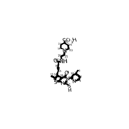 Cc1ccnc(-n2c(S)nc3sc(C)c(C#CC(=O)NCCN4CCC(C(=O)O)CC4)c3c2=O)c1